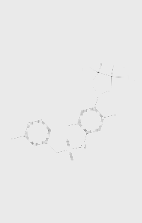 CC1(C)OB(c2cc(F)c(NS(=O)(=O)Cc3cccc(Cl)c3)cc2F)OC1(C)C